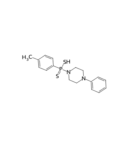 Cc1ccc(P(=S)(S)N2CCN(c3ccccc3)CC2)cc1